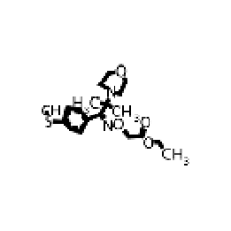 CCOC(=O)CO/N=C(/c1ccc(SC)cc1)C(C)(C)N1CCOCC1